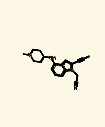 CC#Cc1cc2c(NC3CCN(C)CC3)cccc2n1CC#N